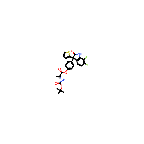 C[C@H](NC(=O)OC(C)(C)C)C(=O)Oc1ccc(C2(c3cccs3)C(=O)Nc3c2ccc(F)c3F)cc1